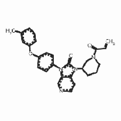 C=CC(=O)N1CCCC(n2c(=O)n(-c3ccc(Oc4cccc(C)c4)cc3)c3cnccc32)C1